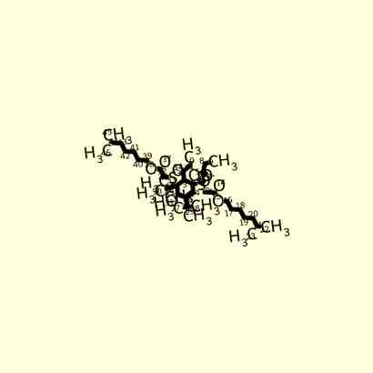 CCCC1C(OC(=O)CC)([S+]([O-])CC(=O)OCCCCCC(C)C)C=C(C(C)(C)C)C(O)C1([S+]([O-])CC(=O)OCCCCCC(C)C)C(C)(C)C